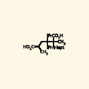 CCCCCCCC(C)(C(=O)O)C(CC(C)C(=O)O)(C(C)C)C(C)C